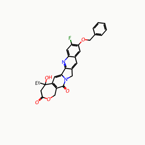 CCC1(O)CC(=O)OCc2c1cc1n(c2=O)Cc2cc3cc(OCc4ccccc4)c(F)cc3nc2-1